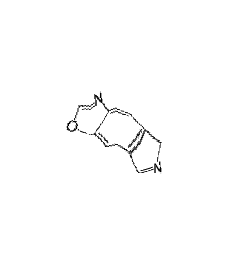 C1=NCc2cc3ncoc3cc21